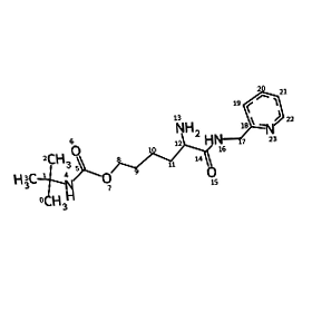 CC(C)(C)NC(=O)OCCCCC(N)C(=O)NCc1ccccn1